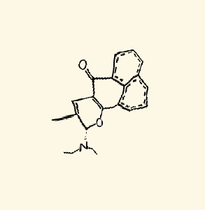 CC1=CC2=C(O[C@@H]1N(C)C)c1cccc3cccc(c13)C2=O